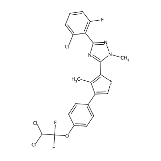 Cc1c(-c2ccc(OC(F)(F)C(Cl)Cl)cc2)csc1-c1nc(-c2c(F)cccc2Cl)nn1C